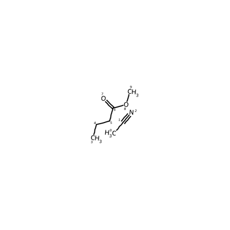 CC#N.CCCC(=O)OC